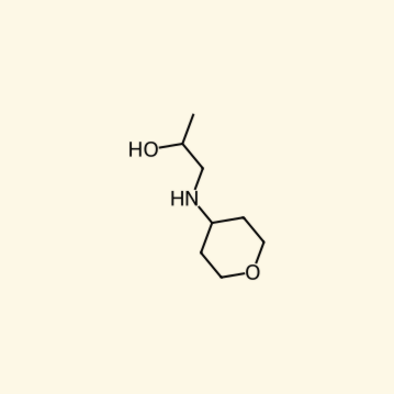 CC(O)CNC1CCOCC1